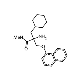 CNC(=O)C(N)(COc1cccc2ccccc12)CC1CCCCC1